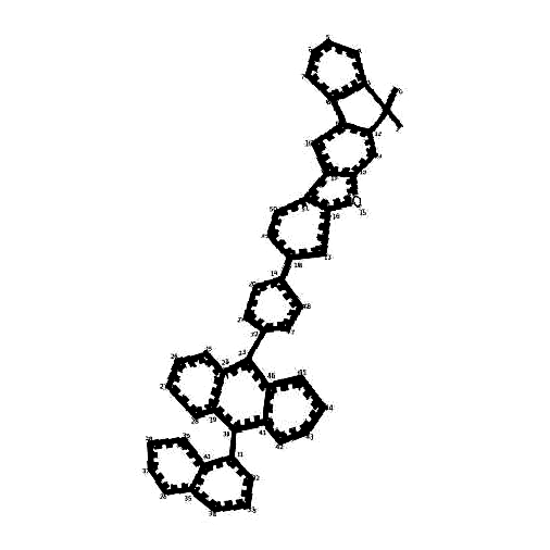 CC1(C)c2ccccc2-c2cc3c(cc21)oc1cc(-c2ccc(-c4c5ccccc5c(-c5cccc6ccccc56)c5ccccc45)cc2)ccc13